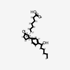 CCCCCC(O)c1ccc(C2CCC(=O)[C@@H]2CCCCCCC(=O)O)cc1